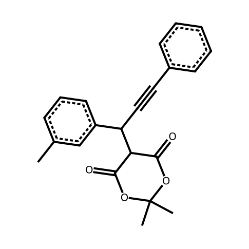 Cc1cccc(C(C#Cc2ccccc2)C2C(=O)OC(C)(C)OC2=O)c1